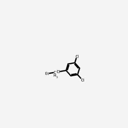 CCC.Clc1cc(Cl)cc(Cl)c1